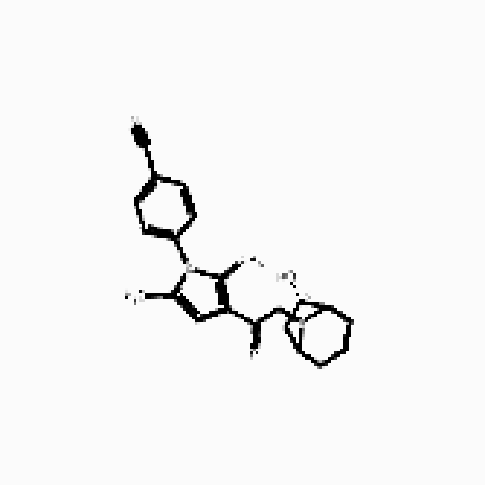 Cc1cc(C(=O)CN2C3CCCC2[C@@H](O)C3)c(C)n1-c1ccc(C#N)cc1